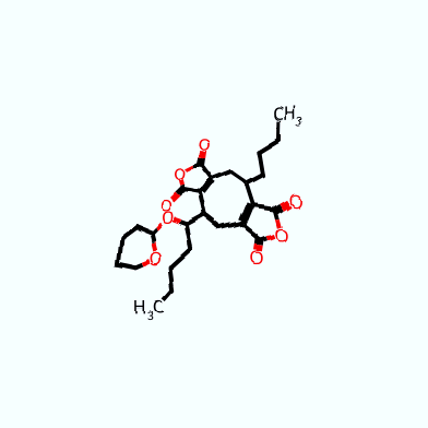 CCCCC1CC2=C(C(=O)OC2=O)C(C(CCCC)OC2CCCCO2)CC2=C1C(=O)OC2=O